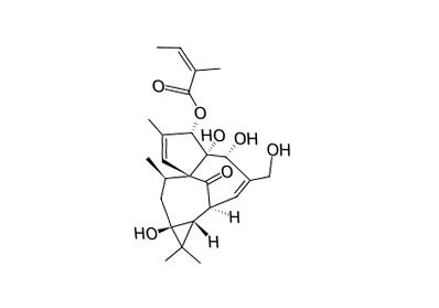 C/C=C(/C)C(=O)O[C@H]1C(C)=C[C@]23C(=O)[C@@H](C=C(CO)[C@@H](O)[C@]12O)[C@@H]1C(C)(C)[C@]1(O)C[C@H]3C